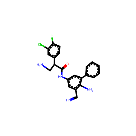 N=Cc1cc(NC(=O)C(CN)c2ccc(Cl)c(Cl)c2)cc(-c2ccccc2)c1N